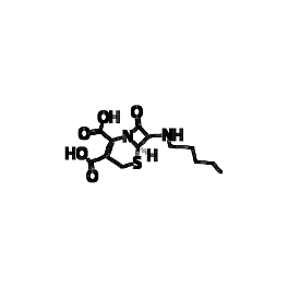 CCCCCNC1C(=O)N2C(C(=O)O)=C(C(=O)O)CS[C@H]12